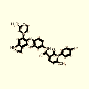 Cc1ccc(C(=O)Nc2ccc(Oc3cc4cn[nH]c4cc3N3CCO[C@H](C)C3)c(F)c2)c(=O)n1-c1ccc(F)cc1